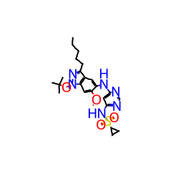 CCCCCc1nn(OC(C)(C)C)c2cc(OC)c(Nc3cc(NS(=O)(=O)C4CC4)ncn3)cc12